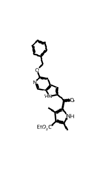 CCOC(=O)c1c(C)[nH]c(C(=O)c2cc3cc(OCc4ccccc4)ncc3[nH]2)c1C